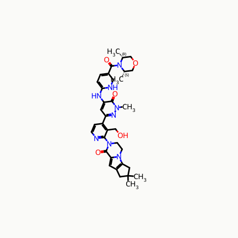 C[C@@H]1COC[C@H](C)N1C(=O)C1=CC=C(Nc2cc(-c3ccnc(N4CCn5c(cc6c5CC(C)(C)C6)C4=O)c3CO)nn(C)c2=O)NC1